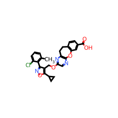 Cc1cccc(Cl)c1-c1noc(C2CC2)c1COc1cnc2c(n1)CCc1ccc(C(=O)O)cc1O2